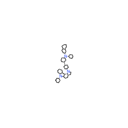 c1ccc(N(c2cccc(-c3ccc(-n4ccc5ccc6c(c7ccccc7n6-c6ccccc6)c54)cc3)c2)c2ccc3ccccc3c2)cc1